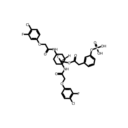 O=C(COc1ccc(Cl)c(F)c1)NC12CCC(NC(=O)COc3ccc(Cl)c(F)c3)(CC1)[C@@H](OC(=O)Cc1cccc(OP(=O)(O)O)c1)C2